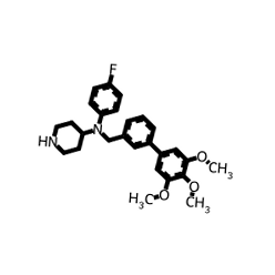 COc1cc(-c2cccc(CN(c3ccc(F)cc3)C3CCNCC3)c2)cc(OC)c1OC